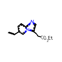 C=Cc1ccc2ncc(CC(=O)OCC)n2c1